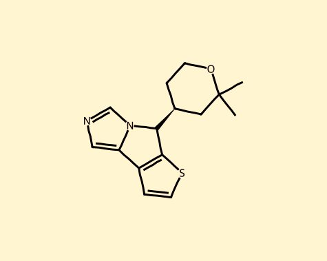 CC1(C)C[C@@H](C2c3sccc3-c3cncn32)CCO1